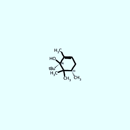 CC1=CC[C@H](C)C(C)(C)[C@]1(O)C(C)(C)C